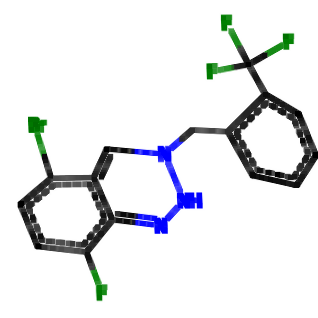 Fc1ccc(Br)c2c1=NNN(Cc1ccccc1C(F)(F)F)C=2